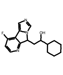 OC(CC1c2nccc(F)c2-c2cncn21)C1CCCCC1